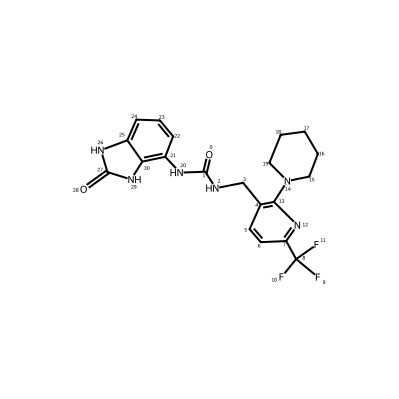 O=C(NCc1ccc(C(F)(F)F)nc1N1CCCCC1)Nc1cccc2[nH]c(=O)[nH]c12